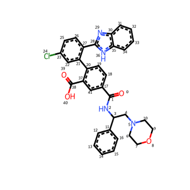 O=C(NC(CN1CCOCC1)c1ccccc1)c1ccc(-c2cc(Cl)ccc2-c2nc3ccccc3[nH]2)c(C(=O)O)c1